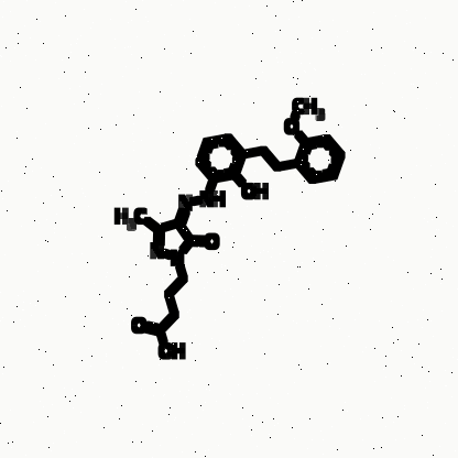 COc1ccccc1CCc1cccc(N/N=C2\C(=O)N(CCCC(=O)O)N=C2C)c1O